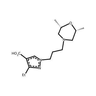 CCc1nn(CCCN2C[C@@H](C)O[C@@H](C)C2)cc1C(=O)O